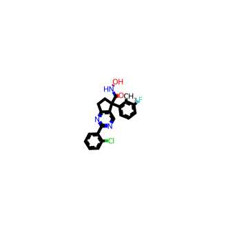 Cc1c(F)cccc1C1(C(=O)NO)CCc2nc(-c3ccccc3Cl)ncc21